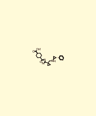 O=C(O)C1CCC(c2nc(C3(CNC4C[C@@H]4c4ccccc4)CC3)no2)CC1